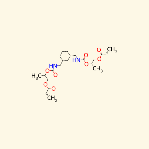 C=CC(=O)OCC(C)OC(=O)NCC1CCCC(CNC(=O)OC(C)COC(=O)C=C)C1